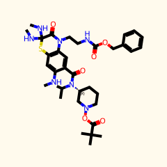 CNc1cc2c(cc1C(=O)N(C(C)C)[C@@H]1CCCN(OC(=O)C(C)(C)C)C1)N(CCNC(=O)OCc1ccccc1)C(=O)C(NC)(NC)S2